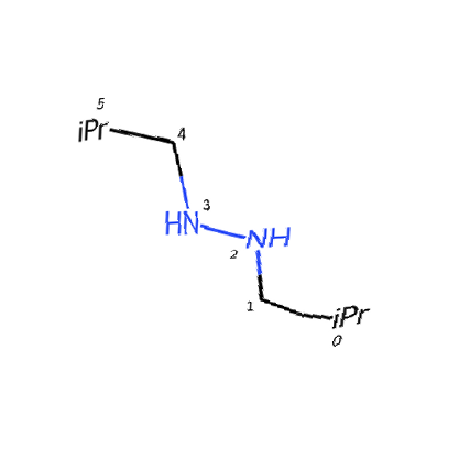 CC(C)CNNCC(C)C